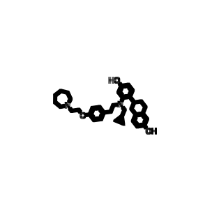 Oc1ccc2c(c1)CCC(c1ccc(O)cc1N(CCc1ccc(OCCN3CCCCCC3)cc1)CC1CC1)C2